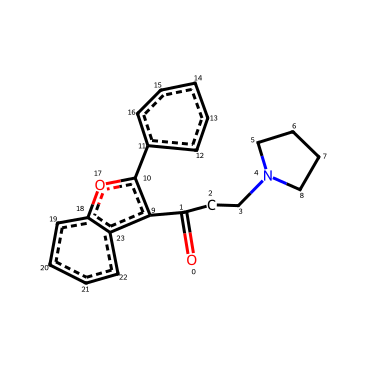 O=C(CCN1CCCC1)c1c(-c2ccccc2)oc2ccccc12